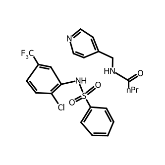 CCCC(=O)NCc1ccncc1.O=S(=O)(Nc1cc(C(F)(F)F)ccc1Cl)c1ccccc1